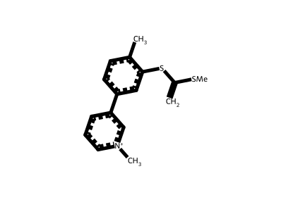 C=C(SC)Sc1cc(-c2ccc[n+](C)c2)ccc1C